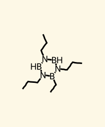 CCCN1BN(CCC)B(CC)N(CCC)B1